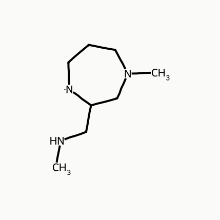 CNCC1CN(C)CCC[N]1